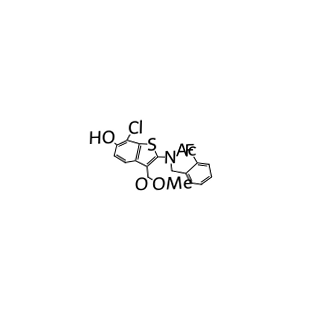 COC(=O)c1c(N(Cc2ccccc2F)C(C)=O)sc2c(Cl)c(O)ccc12